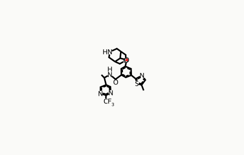 Cc1cnc(-c2cc(OC3C4CNCC3COC4)cc(C(=O)NC(C)c3cnc(C(F)(F)F)nc3)c2)s1